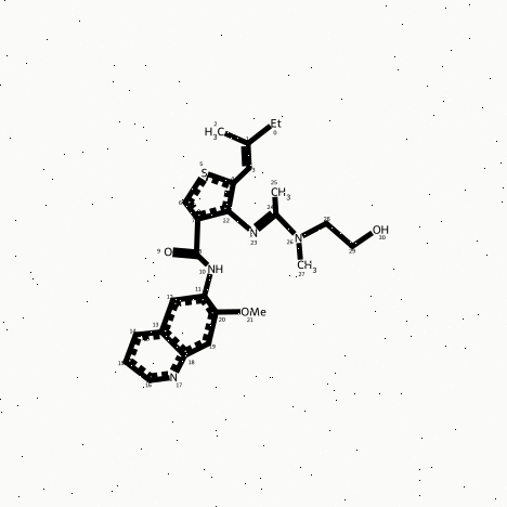 CC/C(C)=C/c1scc(C(=O)Nc2cc3cccnc3cc2OC)c1/N=C(\C)N(C)CCO